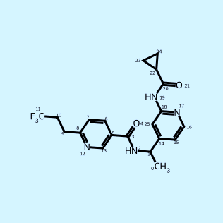 CC(NC(=O)c1ccc(CCC(F)(F)F)nc1)c1ccnc(NC(=O)C2CC2)c1